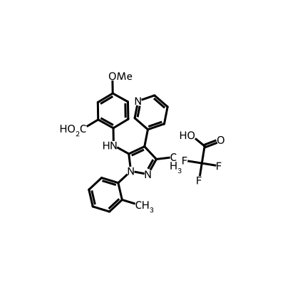 COc1ccc(Nc2c(-c3cccnc3)c(C)nn2-c2ccccc2C)c(C(=O)O)c1.O=C(O)C(F)(F)F